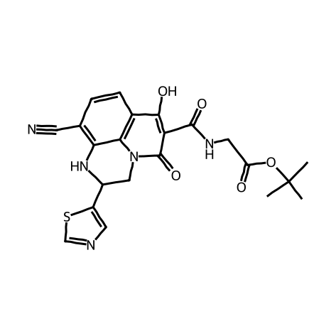 CC(C)(C)OC(=O)CNC(=O)c1c(O)c2ccc(C#N)c3c2n(c1=O)CC(c1cncs1)N3